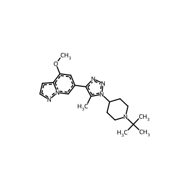 COc1cc(-c2nnn(C3CCN(C(C)(C)C)CC3)c2C)cn2nccc12